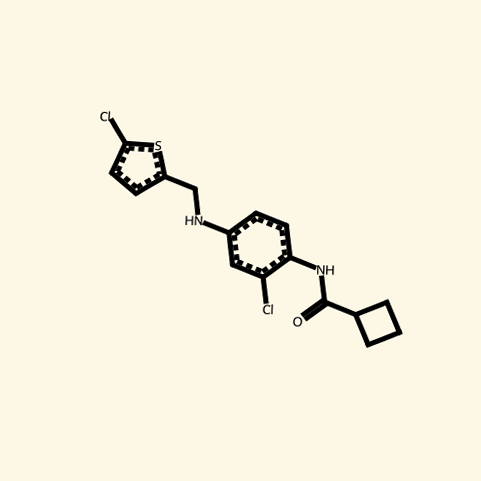 O=C(Nc1ccc(NCc2ccc(Cl)s2)cc1Cl)C1CCC1